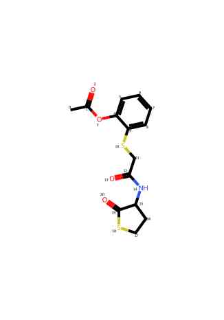 CC(=O)Oc1ccccc1SCC(=O)NC1CCSC1=O